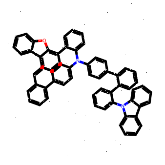 c1ccc(-c2ccccc2-n2c3ccccc3c3ccccc32)c(-c2ccc(N(c3ccc4c(ccc5ccccc54)c3)c3ccccc3-c3cccc4c3oc3ccccc34)cc2)c1